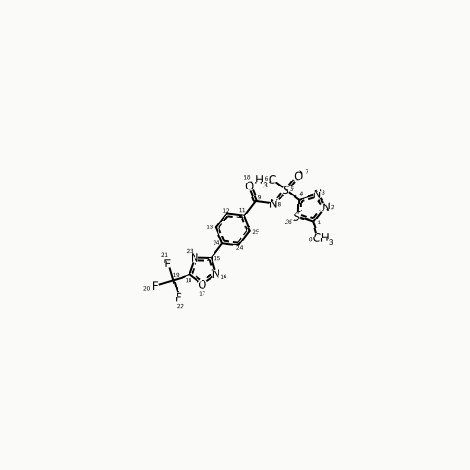 Cc1nnc(S(C)(=O)=NC(=O)c2ccc(-c3noc(C(F)(F)F)n3)cc2)s1